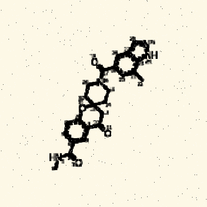 CNC(=O)c1ccc2c(c1)C(=O)CC1(CCN(C(=O)c3cc(C)c4[nH]ncc4c3)CC1)O2